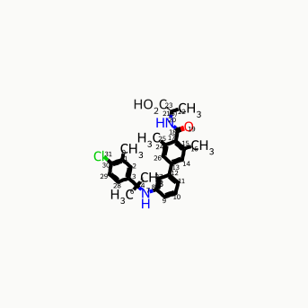 Cc1cc(C(C)(C)Nc2cccc(-c3cc(C)c(C(=O)N[C@@H](C)C(=O)O)c(C)c3)c2)ccc1Cl